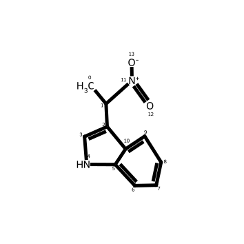 CC(c1c[nH]c2ccccc12)[N+](=O)[O-]